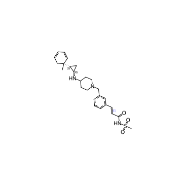 CC1([C@@H]2C[C@H]2NC2CCN(Cc3cccc(/C=C/C(=O)NS(C)(=O)=O)c3)CC2)C=CC=CC1